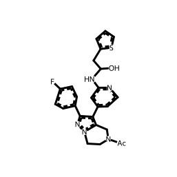 CC(=O)N1CCn2nc(-c3ccc(F)cc3)c(-c3ccnc(NC(O)Cc4cccs4)c3)c2C1